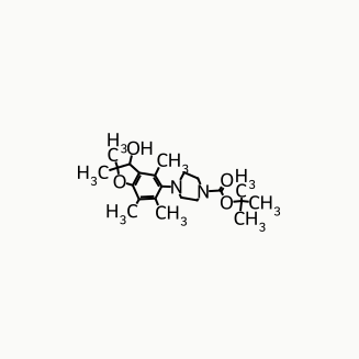 Cc1c(C)c(N2CCN(C(=O)OC(C)(C)C)CC2)c(C)c2c1OC(C)(C)C2O